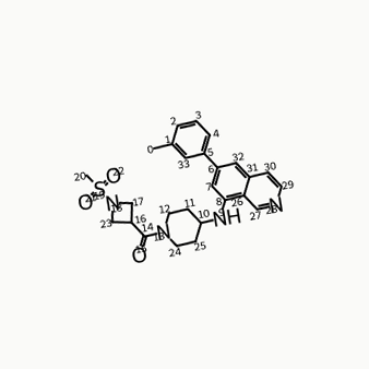 Cc1cccc(-c2cc(NC3CCN(C(=O)C4CN(S(C)(=O)=O)C4)CC3)c3cnccc3c2)c1